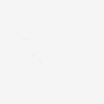 CCOC1=CNNC(N)=C1